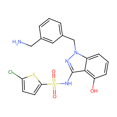 NCc1cccc(Cn2nc(NS(=O)(=O)c3ccc(Cl)s3)c3c(O)cccc32)c1